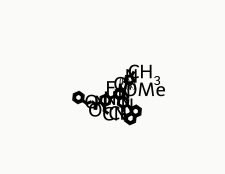 CO[C@@H]1CN(C)C[C@H]1Oc1nc2c(c(N3CCN(C(=O)OCc4ccccc4)C(CC#N)C3)c1F)CCN(c1cccc3cccc(Cl)c13)C2